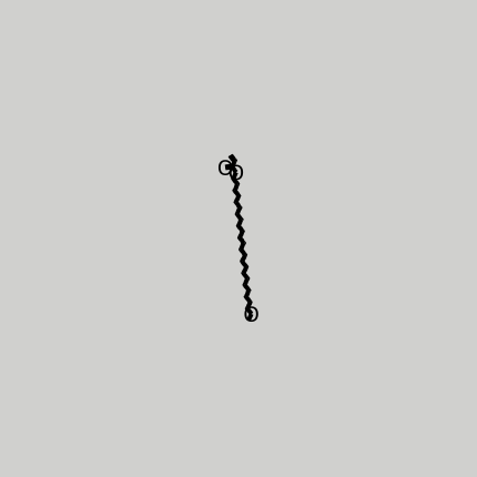 C=CC(=O)OCCCCCCCCCCCCCCCCCCCCCCCOC